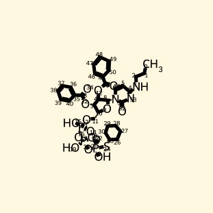 CCCNc1ccn([C@@H]2O[C@H](COP(=O)(O)OP(=O)(O)OP(=O)(O)SC3CCCCC3)[C@H](OC(=O)c3ccccc3)C2OC(=O)c2ccccc2)c(=O)n1